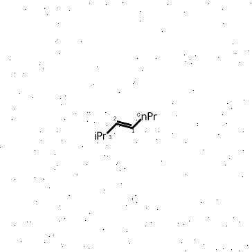 [CH2]CCC=CC(C)C